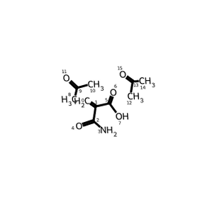 C=C(C(N)=O)C(=O)O.CC(C)=O.CC(C)=O